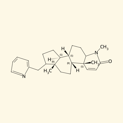 CN1C(=O)C=C[C@@]2(C)C1CC[C@@H]1[C@H]2CC[C@]2(C)C(Cc3ccccn3)CC[C@@H]12